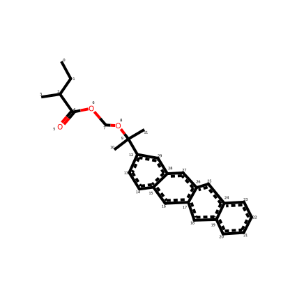 CCC(C)C(=O)OCOC(C)(C)c1ccc2cc3cc4ccccc4cc3cc2c1